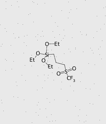 CCO[Si](CCCS(=O)(=O)C(F)(F)F)(OCC)OCC